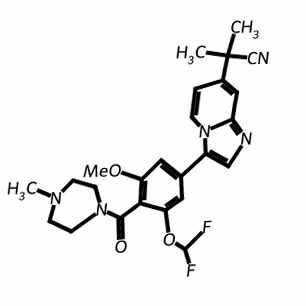 COc1cc(-c2cnc3cc(C(C)(C)C#N)ccn23)cc(OC(F)F)c1C(=O)N1CCN(C)CC1